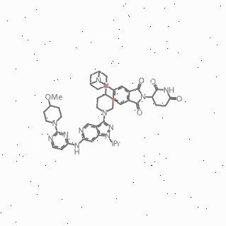 COC1CCN(c2nccc(Nc3cc4c(cn3)c(N3CCC(CN5C6CC5CN(c5ccc7c(c5)C(=O)N(C5CCC(=O)NC5=O)C7=O)C6)CC3)nn4C(C)C)n2)CC1